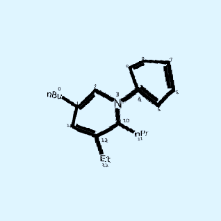 CCCCC1=CN(c2ccccc2)C(CCC)C(CC)=C1